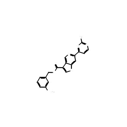 COc1cccc(CNC(=O)c2c[nH]c3cc(-c4ccnc(N)n4)ncc23)c1